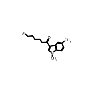 Cc1ccc2c(c1)c(C(=O)CCCCCBr)cn2C